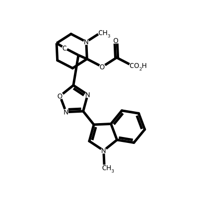 CN1CC2CCC1(OC(=O)C(=O)O)C(c1nc(-c3cn(C)c4ccccc34)no1)C2